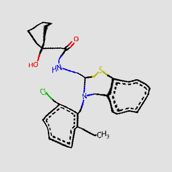 Cc1cccc(Cl)c1N1c2ccccc2SC1NC(=O)C1(O)CC1